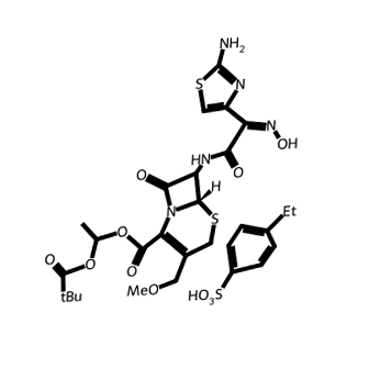 CCc1ccc(S(=O)(=O)O)cc1.COCC1=C(C(=O)OC(C)OC(=O)C(C)(C)C)N2C(=O)C(NC(=O)/C(=N\O)c3csc(N)n3)[C@@H]2SC1